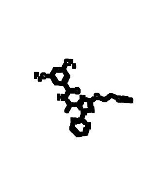 COCCOc1nc(C(C)NC(=O)c2cc(C(F)(F)F)cc(C(F)(F)F)c2)n(-c2ncccn2)n1